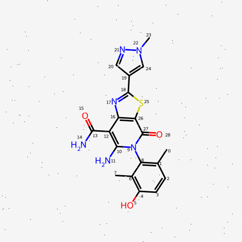 Cc1ccc(O)c(C)c1-n1c(N)c(C(N)=O)c2nc(-c3cnn(C)c3)sc2c1=O